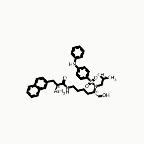 CC(C)CN([C@H](CO)CCCCNC(=O)[C@@H]([AsH2])Cc1ccc2ccccc2c1)S(=O)(=O)c1ccc(Nc2ccccc2)cc1